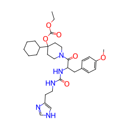 CCOC(=O)OC1(C2CCCCC2)CCN(C(=O)C(Cc2ccc(OC)cc2)NC(=O)NCCc2c[nH]cn2)CC1